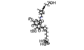 Cc1sc(/C=C/C(=O)N2O[C@H](CC(C)C)C(=O)N3[C@@H]2CN([C@@H]2CCN(CCCCOP(=O)(O)O)C2)C(=O)[C@@H]3CC(C)(C)C)nc1C#CCCCO